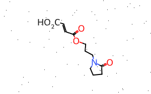 O=C(O)C=CC(=O)OCCCN1CCCC1=O